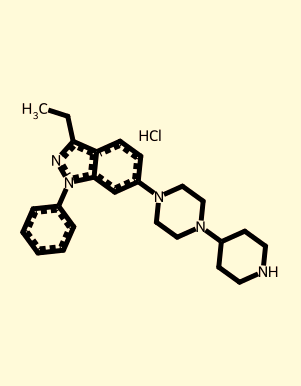 CCc1nn(-c2ccccc2)c2cc(N3CCN(C4CCNCC4)CC3)ccc12.Cl